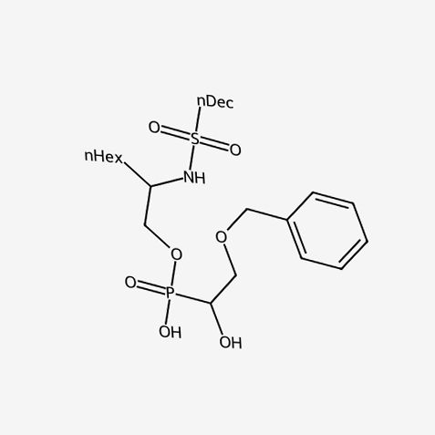 CCCCCCCCCCS(=O)(=O)NC(CCCCCC)COP(=O)(O)C(O)COCc1ccccc1